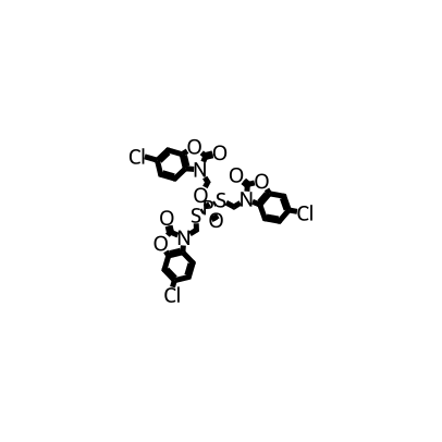 O=c1oc2cc(Cl)ccc2n1COP(=O)(SCn1c(=O)oc2cc(Cl)ccc21)SCn1c(=O)oc2cc(Cl)ccc21